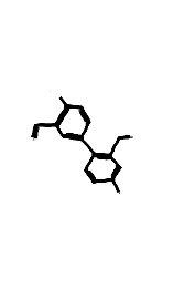 CCc1cc(F)ccc1-c1ccc(O)c(C=O)c1